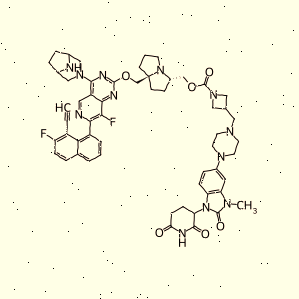 C#Cc1c(F)ccc2cccc(-c3ncc4c(N5CC6CCC(C5)N6)nc(OC[C@@]56CCCN5[C@H](COC(=O)N5CC(CN7CCN(c8ccc9c(c8)n(C)c(=O)n9C8CCC(=O)NC8=O)CC7)C5)CC6)nc4c3F)c12